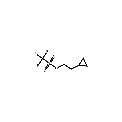 O=S(=O)(OCCC1CC1)C(F)(F)F